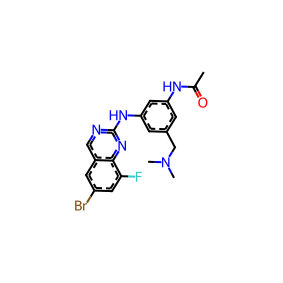 CC(=O)Nc1cc(CN(C)C)cc(Nc2ncc3cc(Br)cc(F)c3n2)c1